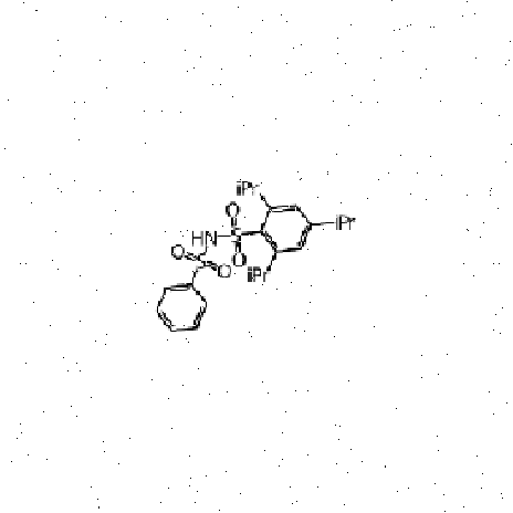 CC(C)c1cc(C(C)C)c(S(=O)(=O)NS(=O)(=O)c2ccccc2)c(C(C)C)c1